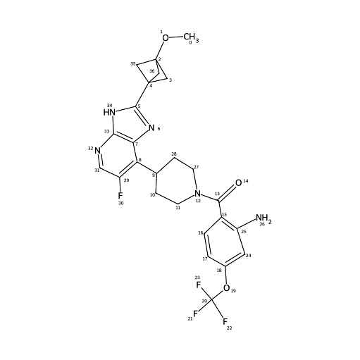 COC12CC(c3nc4c(C5CCN(C(=O)c6ccc(OC(F)(F)F)cc6N)CC5)c(F)cnc4[nH]3)(C1)C2